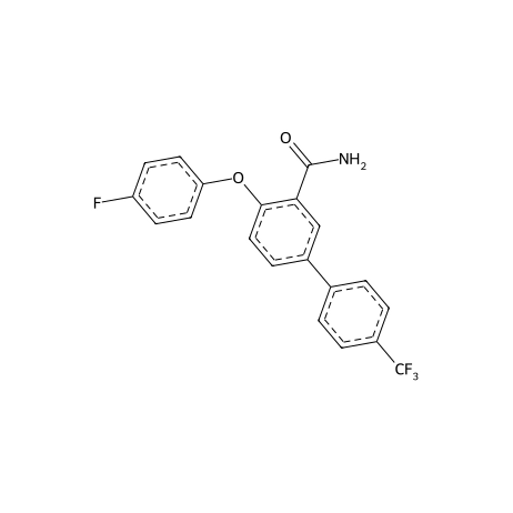 NC(=O)c1cc(-c2ccc(C(F)(F)F)cc2)ccc1Oc1ccc(F)cc1